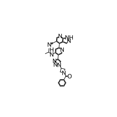 CC(C)Nc1cc(-c2c(C#N)cnc3[nH]ncc23)ncc1-c1cn(C2CN(C(=O)c3ccccc3)C2)nn1